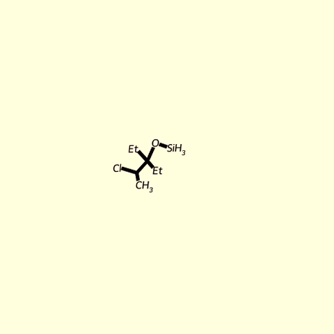 CCC(CC)(O[SiH3])C(C)Cl